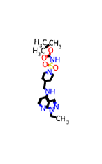 CCn1ncc2c(NCC3CCN(S(=O)(=O)NC(=O)OC(C)(C)C)CC3)ccnc21